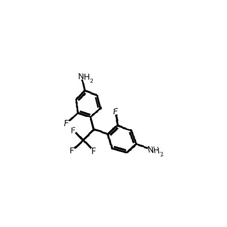 Nc1ccc(C(c2ccc(N)cc2F)C(F)(F)F)c(F)c1